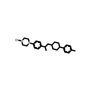 CCN1CCN(c2ccc(C(C)CC3CCC(c4ccc(C)cc4)CC3)cc2)CC1